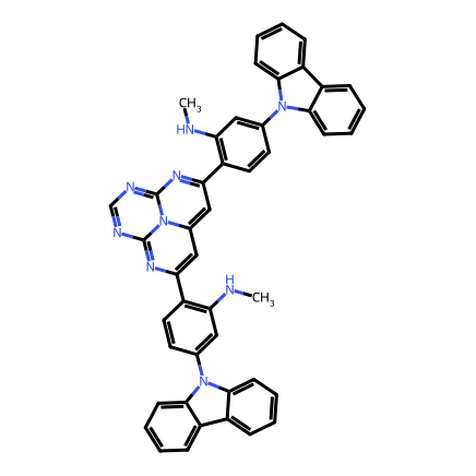 CNc1cc(-n2c3ccccc3c3ccccc32)ccc1C1=CC2=CC(c3ccc(-n4c5ccccc5c5ccccc54)cc3NC)=NC3=NC=NC(=N1)N23